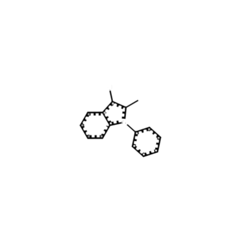 Cc1c(Cl)c2ccccc2n1-c1ccccc1